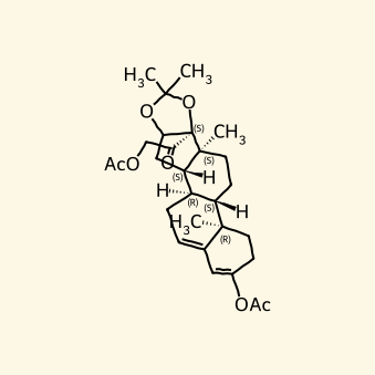 CC(=O)OCC(=O)[C@@]12OC(C)(C)OC1C[C@H]1[C@@H]3CC=C4C=C(OC(C)=O)CC[C@]4(C)[C@H]3CC[C@@]12C